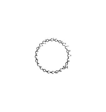 C1COCCOCCOCCONCOCCOCCOCCO1